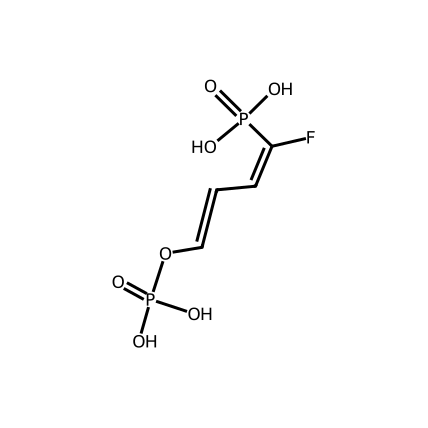 O=P(O)(O)OC=CC=C(F)P(=O)(O)O